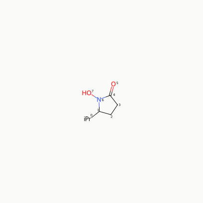 CC(C)C1CCC(=O)N1O